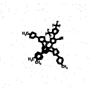 Cc1ccc(-c2ccc3c(c2)c2cc(-c4ccc(C)cc4)ccc2n3-c2cc(C#N)c(-c3ccc(C(F)(F)F)cc3C(F)(F)F)cc2-n2c3ccc(-c4ccc(C)cc4)cc3c3cc(-c4ccc(C)cc4)ccc32)cc1